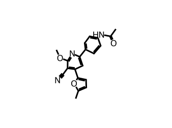 COc1nc(-c2ccc(NC(C)=O)cc2)cc(-c2ccc(C)o2)c1C#N